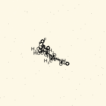 CC(=O)N[C@@H](CCCCNC(=O)OCc1ccccc1)C(=O)NCCNC(=O)[C@@H](N)CCN(C(=O)CO)[C@@H](c1cc(-c2cc(F)ccc2F)cn1Cc1ccccc1)C(C)(C)C